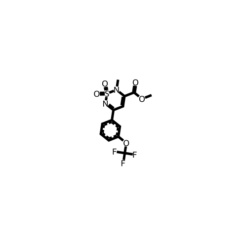 COC(=O)C1=CC(c2cccc(OC(F)(F)F)c2)=NS(=O)(=O)N1C